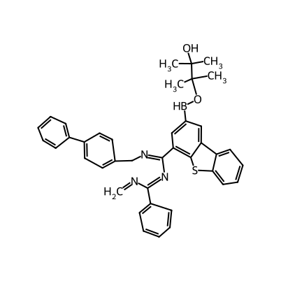 C=N/C(=N\C(=N/Cc1ccc(-c2ccccc2)cc1)c1cc(BOC(C)(C)C(C)(C)O)cc2c1sc1ccccc12)c1ccccc1